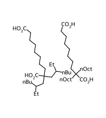 CCCCC(CC)CC(CCCCCCCC(=O)O)(CC(CC)CCCC)C(=O)O.CCCCCCCCC(CCCCCCCC)(CCCCCCCC(=O)O)C(=O)O